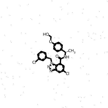 C[C@H](NC(=O)c1cc(Cl)cc2nnn(Cc3cccc(Cl)c3)c12)c1ccc(OCO)cc1